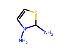 NC1SC=CN1N